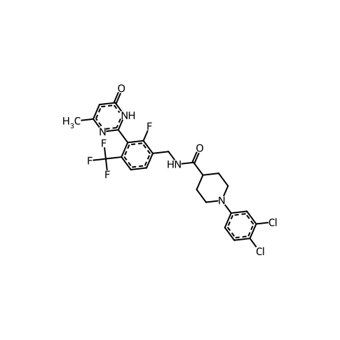 Cc1cc(=O)[nH]c(-c2c(C(F)(F)F)ccc(CNC(=O)C3CCN(c4ccc(Cl)c(Cl)c4)CC3)c2F)n1